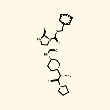 N[C@H](C(=O)N1CCCC1)[C@H]1CC[C@@H](NC(=O)[C@@H]2CNC(=O)N2C(=O)OCc2ccccc2)CC1